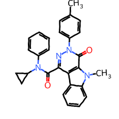 Cc1ccc(-n2nc(C(=O)N(c3ccccc3)C3CC3)c3c4ccccc4n(C)c3c2=O)cc1